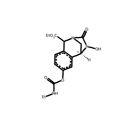 CCNC(=O)Oc1ccc2c(c1)[C@H]1CN(C(=O)N1O)C2C(=O)OCC